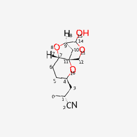 C[C@@H](C#N)C[C@H]1CC[C@@H]2O[C@@H]3C[C@]2(COC3O)O1